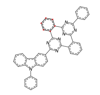 c1ccc(-c2nc(-c3ccccc3)nc(-c3ccccc3-c3nc(-c4ccccc4)nc(-c4ccc5c(c4)c4ccccc4n5-c4ccccc4)n3)n2)cc1